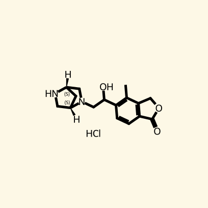 Cc1c(C(O)CN2C[C@@H]3C[C@H]2CN3)ccc2c1COC2=O.Cl